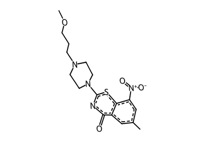 COCCCN1CCN(c2nc(=O)c3cc(C)cc([N+](=O)[O-])c3s2)CC1